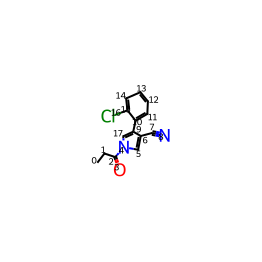 CCC(=O)n1cc(C#N)c(-c2ccccc2Cl)c1